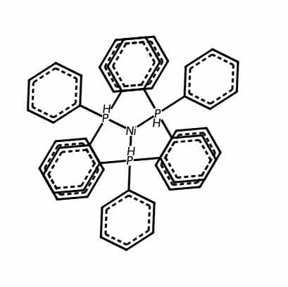 c1ccc([PH](c2ccccc2)(c2ccccc2)[Ni]([PH](c2ccccc2)(c2ccccc2)c2ccccc2)[PH](c2ccccc2)(c2ccccc2)c2ccccc2)cc1